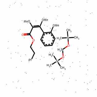 COC(C(=O)OCCC(C)C)=C(OC)c1ccccc1OC.C[Si](C)(C)O[SiH2]O[Si](C)(C)C